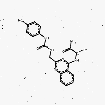 CC(C)[C@H](Nc1nc(CNC(=O)Nc2ccc(C#N)cc2)nc2ccccc12)C(N)=O